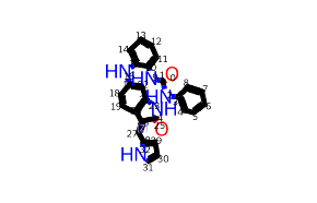 O=C(Nc1ccccc1)Nc1ccccc1Nc1ccc2c(c1)NC(=O)/C2=C\c1ccc[nH]1